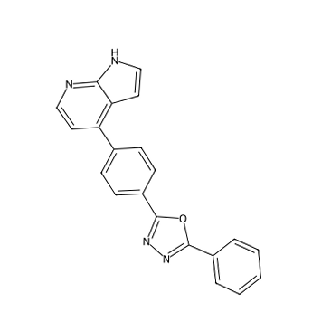 c1ccc(-c2nnc(-c3ccc(-c4ccnc5[nH]ccc45)cc3)o2)cc1